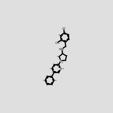 Clc1ccc(CNC2CCN(c3ccc(-c4ccccc4)cn3)C2)c(Cl)c1